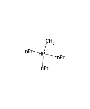 CCC[PH](C)(CCC)CCC